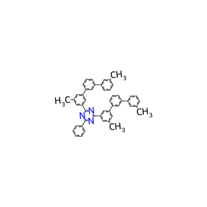 Cc1cccc(-c2cccc(-c3cc(C)cc(-c4nc(-c5ccccc5)nc(-c5cc(C)cc(-c6cccc(-c7cccc(C)c7)c6)c5)n4)c3)c2)c1